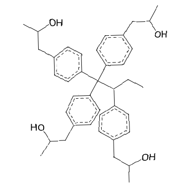 CCC(c1ccc(CC(C)O)cc1)C(c1ccc(CC(C)O)cc1)(c1ccc(CC(C)O)cc1)c1ccc(CC(C)O)cc1